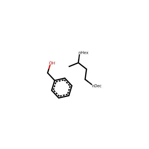 CCCCCCCCCCCCC(C)CCCCCC.OCc1ccccc1